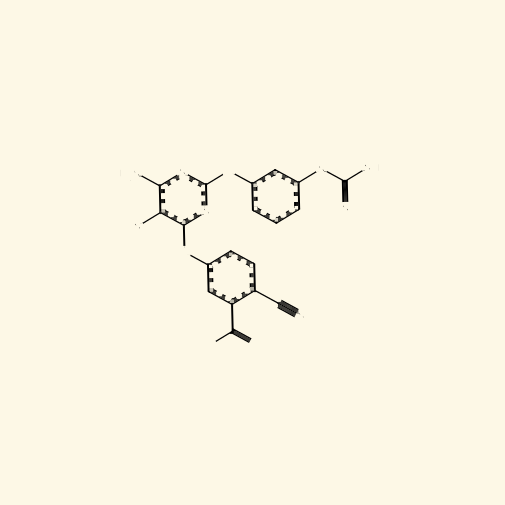 N#Cc1ccc(Oc2nc(Oc3cccc(NC(=N)N)c3)nc(N)c2N)cc1C(=O)O